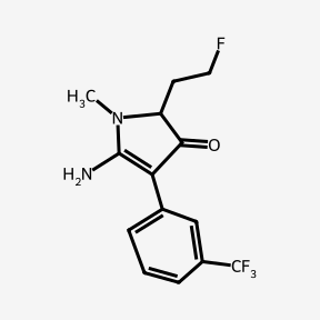 CN1C(N)=C(c2cccc(C(F)(F)F)c2)C(=O)C1CCF